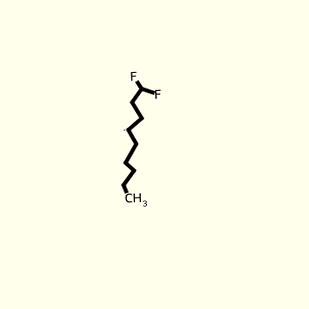 CCCCC[CH]CCC(F)F